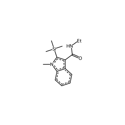 CCNC(=O)c1c([Si](C)(C)C)n(C)c2ccccc12